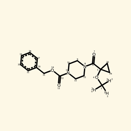 [2H]C([2H])([2H])OC1(C(=O)N2CCN(C(=O)OCc3ccccc3)CC2)CC1